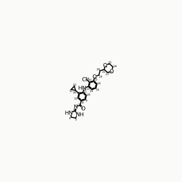 O=C(N=C1NCCN1)c1ccc(Nc2cccc(OCCC3COCCO3)c2Cl)c(C2CC2)c1